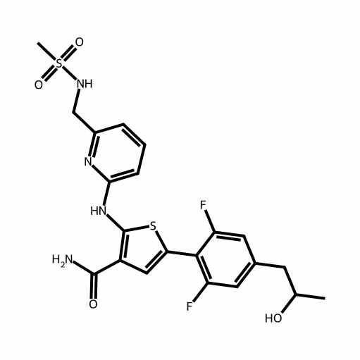 CC(O)Cc1cc(F)c(-c2cc(C(N)=O)c(Nc3cccc(CNS(C)(=O)=O)n3)s2)c(F)c1